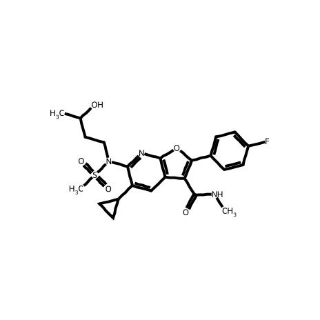 CNC(=O)c1c(-c2ccc(F)cc2)oc2nc(N(CCC(C)O)S(C)(=O)=O)c(C3CC3)cc12